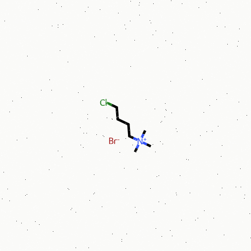 C[N+](C)(C)CCCCCl.[Br-]